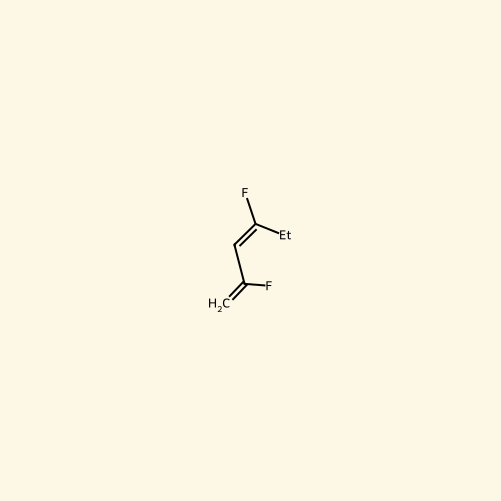 C=C(F)/C=C(/F)CC